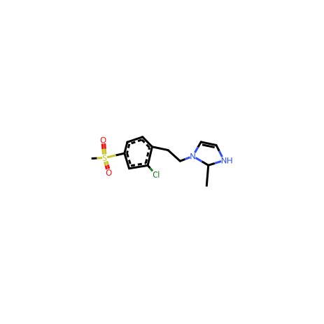 CC1NC=CN1CCc1ccc(S(C)(=O)=O)cc1Cl